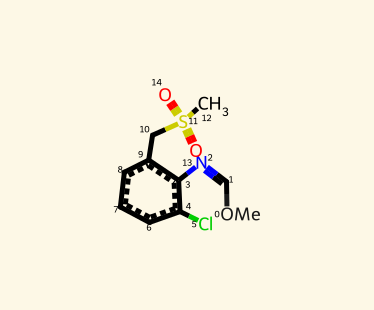 CO/C=N\c1c(Cl)cccc1CS(C)(=O)=O